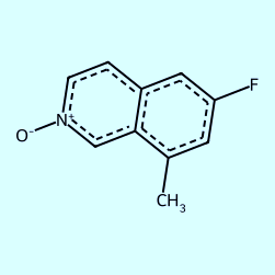 Cc1cc(F)cc2cc[n+]([O-])cc12